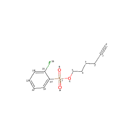 C#CCCCCOS(=O)(=O)c1ccccc1F